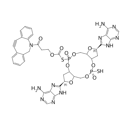 Nc1ncnc2[nH]c([C@H]3CC4OP(=O)(S)OCC5O[C@@H](c6nc7c(N)ncnc7[nH]6)CC5OP(=O)(SC(=O)OCCC(=O)N5Cc6ccccc6C#Cc6ccccc65)OCC4O3)nc12